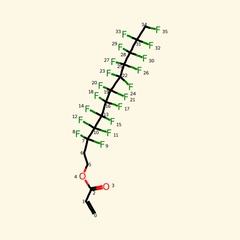 C=CC(=O)OCCC(F)(F)C(F)(F)C(F)(F)C(F)(F)C(F)(F)C(F)(F)C(F)(F)C(F)(F)C(F)(F)CF